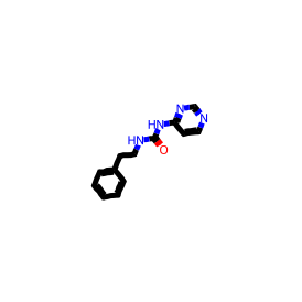 O=C(NCCc1ccccc1)Nc1ccncn1